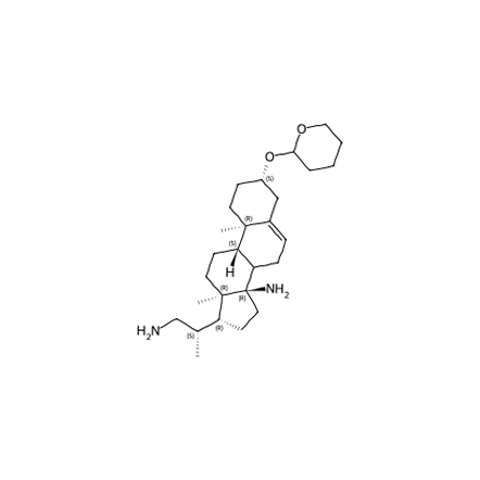 C[C@H](CN)[C@H]1CC[C@@]2(N)C3CC=C4C[C@@H](OC5CCCCO5)CC[C@]4(C)[C@H]3CC[C@]12C